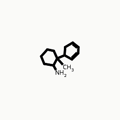 CC1(C2C=CC=CC2)CCCCC1N